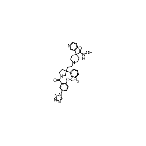 COc1ccc(-n2cnnn2)cc1C(=O)N1CCC(CCN2CCC(C(=O)NO)(c3cccnc3)CC2)(c2ccccc2)C1